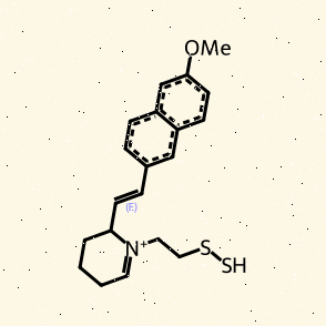 COc1ccc2cc(/C=C/C3CCCC=[N+]3CCSS)ccc2c1